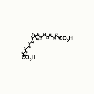 CC(C)(CCCCCCCC(=O)O)CCCCCCCC(=O)O